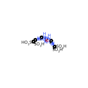 C=C(/N=C(\NC(N)=O)Nc1ccc(/N=N/c2ccc3cc(S(=O)(=O)O)cc(S(=O)(=O)O)c3c2)c(C)c1)Nc1ccc(/N=N/c2cc(S(=O)(=O)O)cc(S(=O)(=O)O)c2)c(C)c1